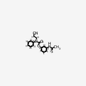 CC(=S)Nc1cccc(OC(=O)N(CCC#N)c2ccccc2)c1